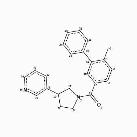 Cc1ccc(C(=O)N2CCC(c3cccnc3)C2)cc1-c1ccccc1